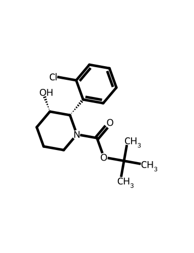 CC(C)(C)OC(=O)N1CCC[C@H](O)[C@@H]1c1ccccc1Cl